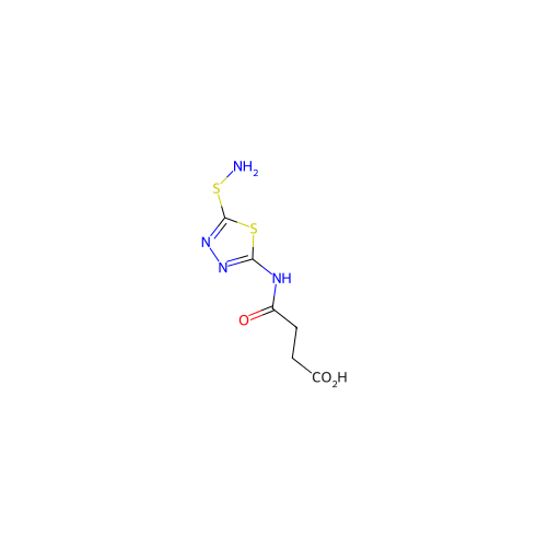 NSc1nnc(NC(=O)CCC(=O)O)s1